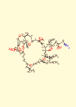 C=C1CC2CC[C@]34C[C@@H](O)C(O3)C3CC(O4)[C@H]4OC(CCC4O3)CC(=O)CC3C(C[C@H]4O[C@@H](CCC1O2)C[C@@H](C)C4=C)O[C@H](CC(O)CN)[C@@H]3OC